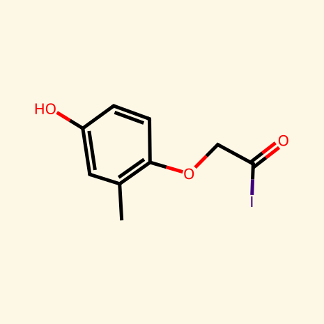 Cc1cc(O)ccc1OCC(=O)I